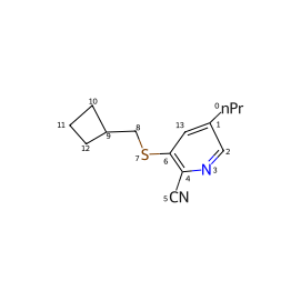 CCCc1cnc(C#N)c(SCC2CCC2)c1